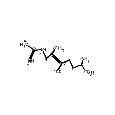 CC/C(CCC(N)C(=O)O)=C(/C)CNC(C)=N